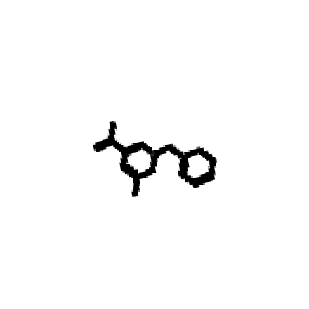 C=C(C)C1=CN(CC2=CC=CCC2)CC(C)=C1